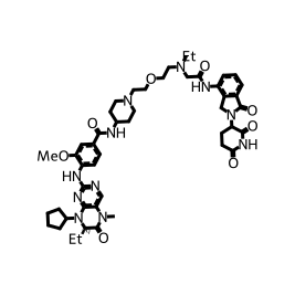 CC[C@@H]1C(=O)N(C)c2cnc(Nc3ccc(C(=O)NC4CCN(CCOCCN(CC)CC(=O)Nc5cccc6c5CN(C5CCC(=O)NC5=O)C6=O)CC4)cc3OC)nc2N1C1CCCC1